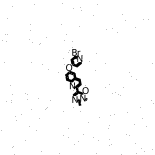 Cc1ncc(-c2ccc3cc(Oc4ccnc(Br)c4)ccc3n2)c(=O)n1C